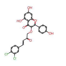 O=C(/C=C/c1ccc(Cl)c(Cl)c1)COc1c(-c2ccc(O)cc2)oc2cc(O)cc(O)c2c1=O